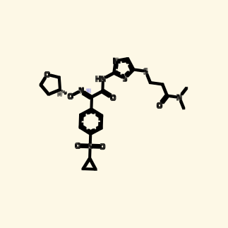 CN(C)C(=O)CCSc1cnc(NC(=O)/C(=N/O[C@@H]2CCOC2)c2ccc(S(=O)(=O)C3CC3)cc2)s1